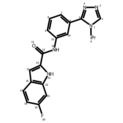 CC(C)n1cnnc1-c1cccc(NC(=O)c2cc3ccc(F)cc3[nH]2)c1